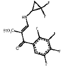 CCOC(=O)C(=CNC1CC1(F)F)C(=O)c1cc(F)c(F)c(F)c1F